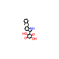 Cc1ccccc1Cc1cccc2c(C3=C(O)C(=O)C=C(O)C3=O)c[nH]c12